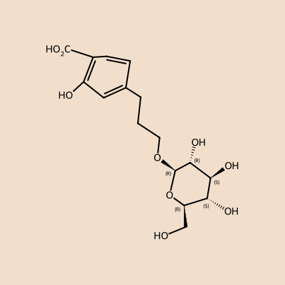 O=C(O)c1ccc(CCCO[C@@H]2O[C@H](CO)[C@@H](O)[C@H](O)[C@H]2O)cc1O